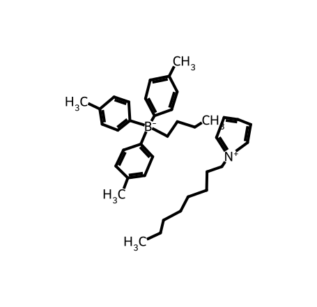 CCCCCCCC[n+]1ccccc1.CCCC[B-](c1ccc(C)cc1)(c1ccc(C)cc1)c1ccc(C)cc1